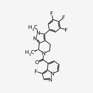 C[C@H]1c2nn(C)c(-c3cc(F)c(F)c(F)c3)c2CCN1C(=O)c1cccn2ncc(F)c12